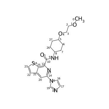 COCCOC1CCC(NC(=O)c2nc(-n3ccnc3)cc3ccsc23)CC1